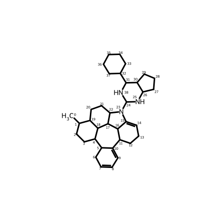 CC1CCC2C3CC=CC=C3C3CCC=C4C3C3C2C1CCC3N4C1NC2CCCC2C(C2CCCCC2)N1